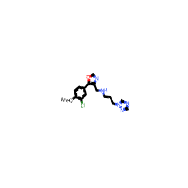 COc1ccc(-c2ocnc2CNCCCn2cncn2)cc1Cl